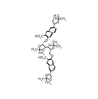 CC1(C)O[C@@H]([C@H]2OC(C)(C)O[C@@H]2COc2cc3ccc([C@H]4COC(C)(C)O4)cc3cc2C(=O)O)[C@H](COc2cc3ccc([C@H]4COC(C)(C)O4)cc3cc2C(=O)O)O1